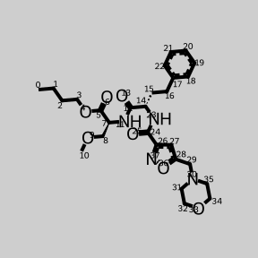 CCCCOC(=O)[C@H](COC)NC(=O)[C@H](CCc1ccccc1)NC(=O)c1cc(CN2CCOCC2)on1